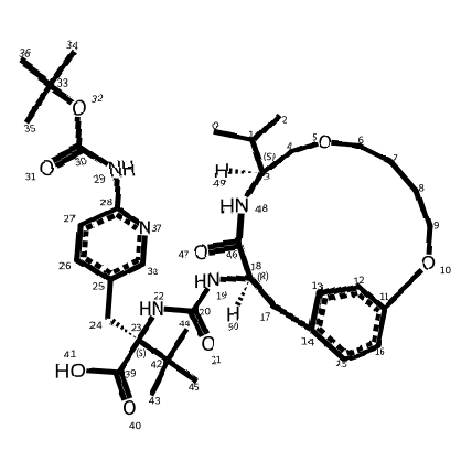 CC(C)[C@H]1COCCCCOc2ccc(cc2)C[C@@H](NC(=O)N[C@](Cc2ccc(NC(=O)OC(C)(C)C)nc2)(C(=O)O)C(C)(C)C)C(=O)N1